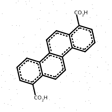 O=C(O)c1cccc2c1ccc1c3cccc(C(=O)O)c3ccc21